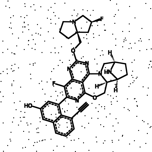 C#Cc1cccc2cc(O)cc(-c3nc4c5c(nc(OC[C@@]67CCCN6C[C@@H](F)C7)nc5c3F)N3C[C@H]5CC[C@H](N5)[C@H]3CO4)c12